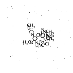 COc1cc(N2CCC3(CC2)CN(C)C3)c(C)cc1Nc1ncc(Cl)c(Nc2ccc3cnn(C)c3c2P(C)(C)=O)n1